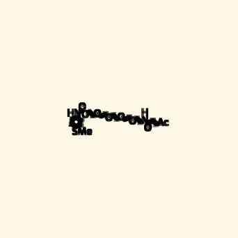 CSC1CCC(NC(=O)OCCOCCOCCOCCOCCNC(=O)CCC(C)=O)CC1